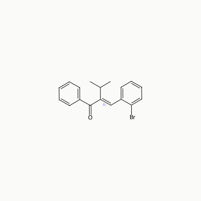 CC(C)/C(=C\c1ccccc1Br)C(=O)c1ccccc1